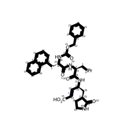 CC(C)C[C@H](NC(=O)[C@H](Cc1cccc2ccccc12)NC(=O)OCc1ccccc1)C(=O)N[C@H](/C=C/C(=O)O)C[C@@H]1CCNC1=O